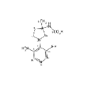 CC1(NC(=O)O)CCN(c2c(N)cncc2F)C1